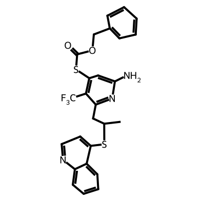 CC(Cc1nc(N)cc(SC(=O)OCc2ccccc2)c1C(F)(F)F)Sc1ccnc2ccccc12